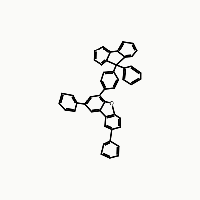 c1ccc(-c2ccc3oc4c(-c5ccc(C6(c7ccccc7)c7ccccc7-c7ccccc76)cc5)cc(-c5ccccc5)cc4c3c2)cc1